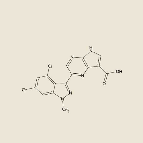 Cn1nc(-c2cnc3[nH]cc(C(=O)O)c3n2)c2c(Cl)cc(Cl)cc21